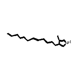 CCCCCCCCCCCCc1c[nH]cc1C